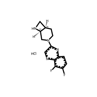 Cl.Fc1ccc2nc(N3CC[C@@H]4CN[C@@H]4C3)cnc2c1F